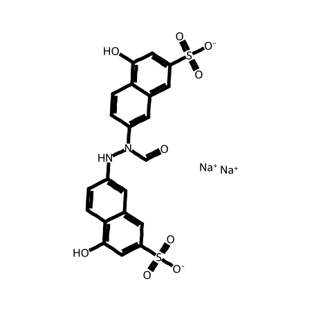 O=CN(Nc1ccc2c(O)cc(S(=O)(=O)[O-])cc2c1)c1ccc2c(O)cc(S(=O)(=O)[O-])cc2c1.[Na+].[Na+]